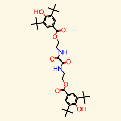 CC(C)(C)c1cc(C(=O)OCCNC(=O)C(=O)NCCOC(=O)c2cc(C(C)(C)C)c(O)c(C(C)(C)C)c2)cc(C(C)(C)C)c1O